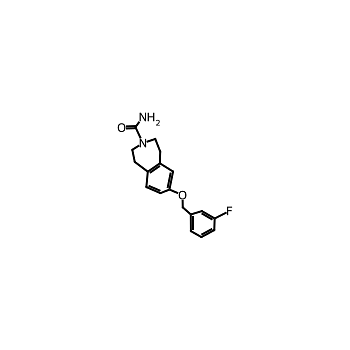 NC(=O)N1CCc2ccc(OCc3cccc(F)c3)cc2CC1